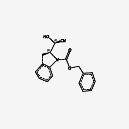 N#C[C@H](O)[C@@H]1Cc2ccccc2N1C(=O)OCc1ccccc1